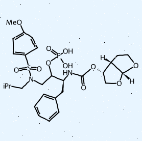 COc1ccc(S(=O)(=O)N(CC(C)C)CC(OP(=O)(O)O)[C@H](Cc2ccccc2)NC(=O)O[C@H]2CO[C@H]3OCC[C@H]32)cc1